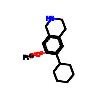 [O-2].[O-2].[Pt+4].c1cc2c(cc1C1CCCCC1)CCNC2